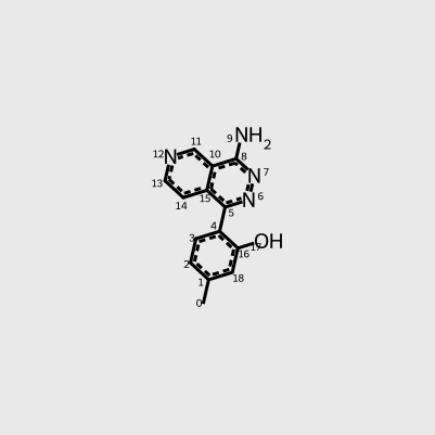 Cc1ccc(-c2nnc(N)c3cnccc23)c(O)c1